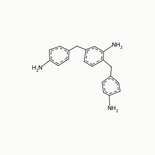 Nc1ccc(Cc2ccc(Cc3ccc(N)cc3)c(N)c2)cc1